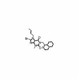 CC=CCn1c(Br)nc2c1c(=O)n(Cc1nccc3ccccc13)c(=O)n2C